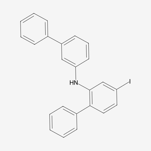 Ic1ccc(-c2ccccc2)c(Nc2cccc(-c3ccccc3)c2)c1